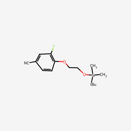 CC(C)(C)[Si](C)(C)OCCOc1ccc(C#N)cc1F